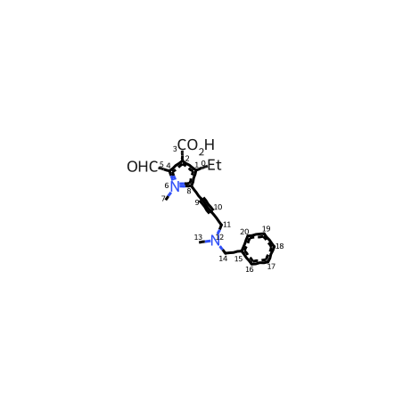 CCc1c(C(=O)O)c(C=O)n(C)c1C#CCN(C)Cc1ccccc1